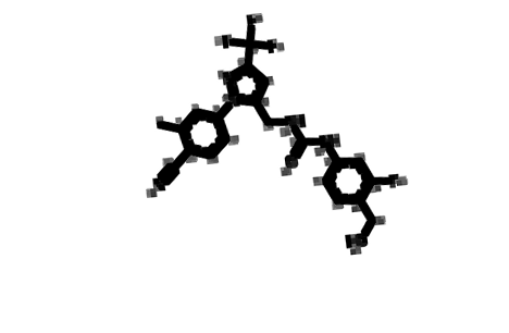 Cc1cc(-n2nc(C(F)(F)F)cc2CNC(=O)Nc2ccc(CO)c(F)c2)ccc1C#N